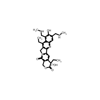 CCc1c2c(nc3cc(CNC)c(O)c(CNC)c13)-c1cc3c(c(=O)n1C2)COC(=O)[C@]3(O)CC